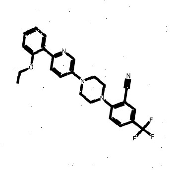 CCOc1ccccc1-c1ccc(N2CCN(c3ccc(C(F)(F)F)cc3C#N)CC2)cn1